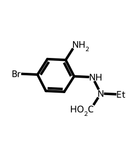 CCN(Nc1ccc(Br)cc1N)C(=O)O